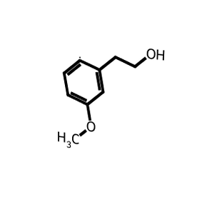 COc1cc[c]c(CCO)c1